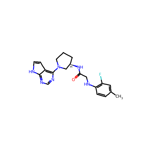 Cc1ccc(NCC(=O)N[C@@H]2CCCN(c3ncnc4[nH]ccc34)C2)c(F)c1